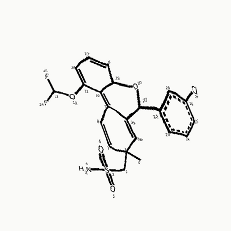 CC1(CS(N)(=O)=O)C=CC2=C3C(OC(F)F)=CC=CC3OC(c3cccc(Cl)c3)C2=C1